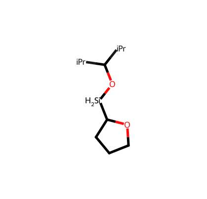 CC(C)C(O[SiH2]C1CCCO1)C(C)C